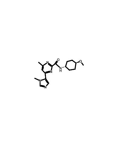 CO[C@H]1CC[C@H](NC(=O)c2nc(C)cc(-c3cncn3C)n2)CC1